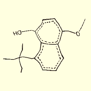 COc1ccc(O)c2c(C(C)(C)C)cccc12